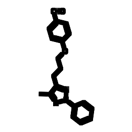 Cc1nn(-c2ccccc2)nc1CCCOc1ccc(C=O)cc1